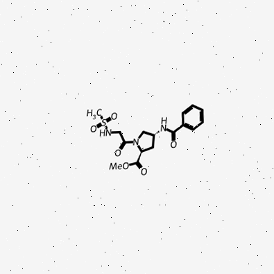 COC(=O)[C@@H]1C[C@@H](NC(=O)c2ccccc2)CN1C(=O)CNS(C)(=O)=O